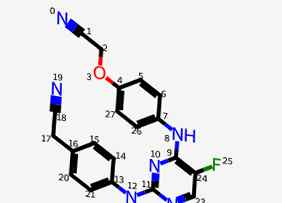 N#CCOc1ccc(Nc2nc(Nc3ccc(CC#N)cc3)ncc2F)cc1